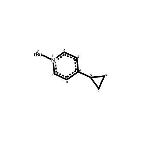 CC(C)(C)[n+]1ccc(C2CC2)cc1